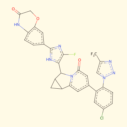 O=C1COc2cc(-c3nc(F)c(C4C5CC5c5cc(-c6cc(Cl)ccc6-n6cc(C(F)(F)F)nn6)cc(=O)n54)[nH]3)ccc2N1